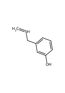 C=[SH]Cc1cccc(O)c1